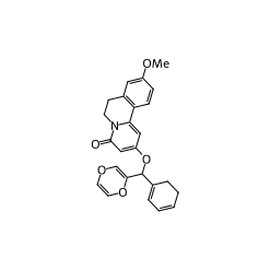 COc1ccc2c(c1)CCn1c-2cc(OC(C2=CC=CCC2)C2=COC=CO2)cc1=O